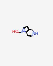 OCn1ccc2c1C=CNC2